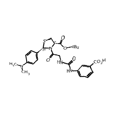 CN(C)c1ccc([C@H]2SC[C@@H](C(=O)OC(C)(C)C)N2C(=O)CNC(=O)Nc2cccc(C(=O)O)c2)cc1